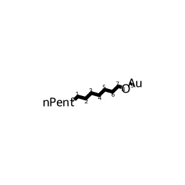 CCCCCCCCCCCC[O][Au]